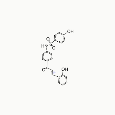 O=C(/C=C/c1ccccc1O)c1ccc(NS(=O)(=O)c2ccc(O)cc2)cc1